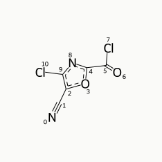 N#Cc1oc(C(=O)Cl)nc1Cl